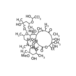 CC(CC(C)(C)O)OC(O)C(Cl)(Cl)Cl.CC[C@H]1OC(=O)[C@H](C)[C@@H](O[C@H]2C[C@@](C)(OC)[C@@H](O)[C@H](C)O2)C(C)[C@@H](O[C@@H]2O[C@H](C)C[C@H](N(C)C)[C@H]2O)[C@](C)(OC)C[C@@H](C)C(=O)[C@H](C)[C@@H](O)[C@]1(C)O